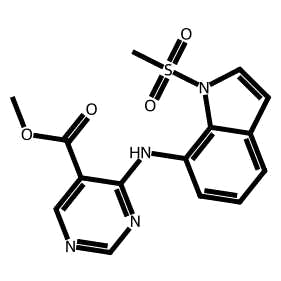 COC(=O)c1cncnc1Nc1cccc2ccn(S(C)(=O)=O)c12